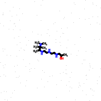 CC(O)CNCCNCCNC(C)C(C)(C)N(C)C